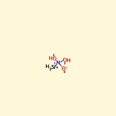 [O-][N+](O)(O)[SiH3]